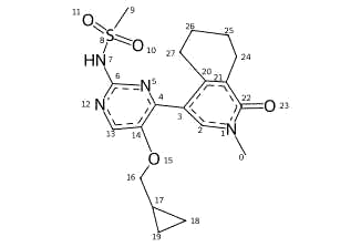 Cn1cc(-c2nc(NS(C)(=O)=O)ncc2OCC2CC2)c2c(c1=O)CCCC2